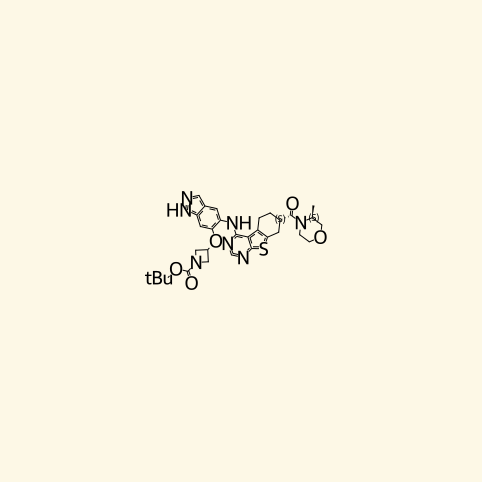 C[C@H]1COCCN1C(=O)[C@H]1CCc2c(sc3ncnc(Nc4cc5cn[nH]c5cc4OC4CN(C(=O)OC(C)(C)C)C4)c23)C1